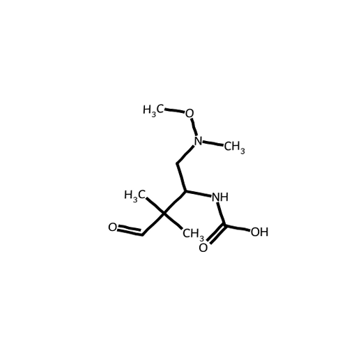 CON(C)CC(NC(=O)O)C(C)(C)C=O